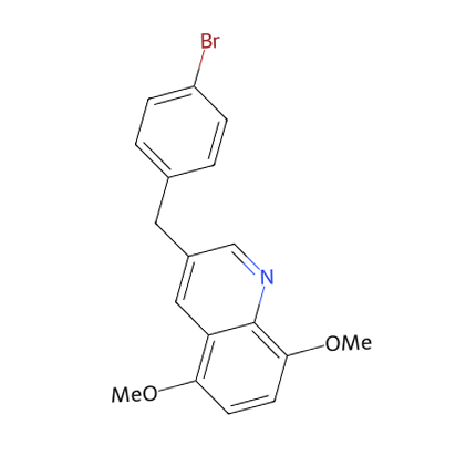 COc1ccc(OC)c2ncc(Cc3ccc(Br)cc3)cc12